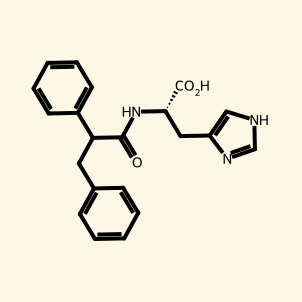 O=C(N[C@@H](Cc1c[nH]cn1)C(=O)O)C(Cc1ccccc1)c1ccccc1